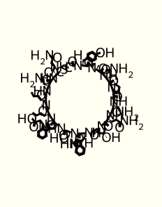 CCCC[C@H]1C(=O)N(C)[C@@H](CCCC)C(=O)N[C@@H](CCN)C(=O)N[C@H](C(=O)NCC(N)=O)CSCC(=O)N[C@@H](Cc2ccc(O)cc2)C(=O)N(C)[C@@H](C)C(=O)N[C@@H](CC(N)=O)C(=O)N2CCC[C@H]2C(=O)N[C@@H](CN)C(=O)N[C@@H](CCC(N)=O)C(=O)N2C[C@H](O)C[C@H]2C(=O)N[C@@H](Cc2c[nH]c3ccccc23)C(=O)N[C@@H](CO)C(=O)N[C@@H](Cc2cn(CC(=O)O)c3ccccc23)C(=O)N1C